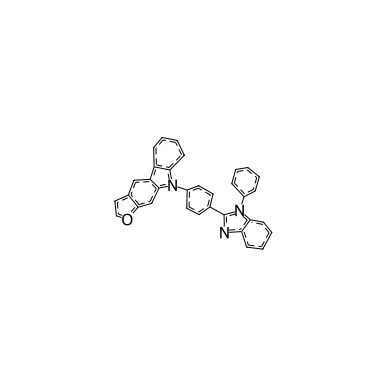 c1ccc(-n2c(-c3ccc(-n4c5ccccc5c5cc6ccoc6cc54)cc3)nc3ccccc32)cc1